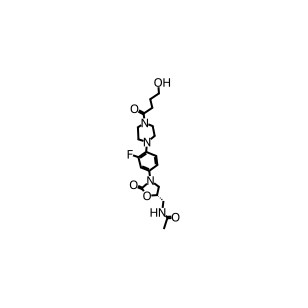 CC(=O)NC[C@H]1CN(c2ccc(N3CCN(C(=O)CCCO)CC3)c(F)c2)C(=O)O1